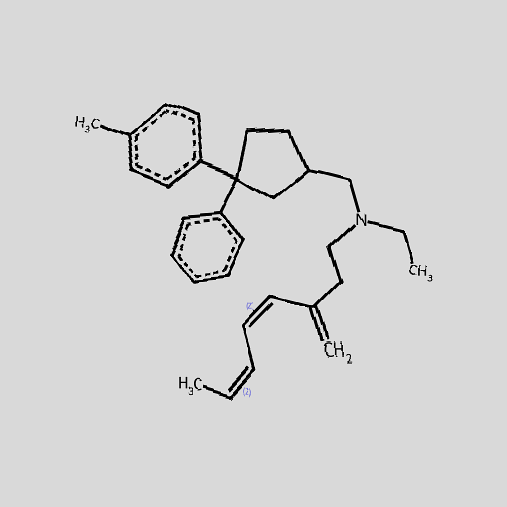 C=C(/C=C\C=C/C)CCN(CC)CC1CCC(c2ccccc2)(c2ccc(C)cc2)C1